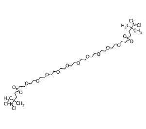 CC(C)(CCS(=O)(=O)CCOCCOCCOCCOCCOCCOCCOCCOCCOCCOCCS(=O)(=O)CCC(C)(C)N(Cl)Cl)N(Cl)Cl